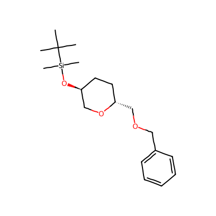 CC(C)(C)[Si](C)(C)O[C@H]1CC[C@H](COCc2ccccc2)OC1